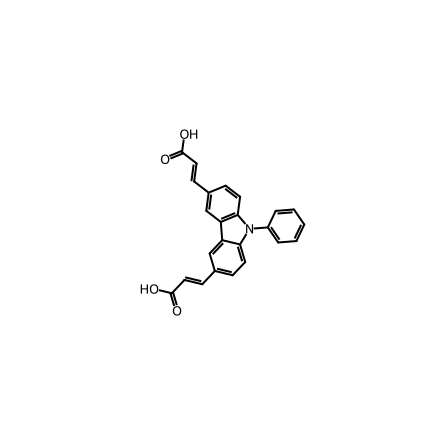 O=C(O)C=Cc1ccc2c(c1)c1cc(C=CC(=O)O)ccc1n2-c1ccccc1